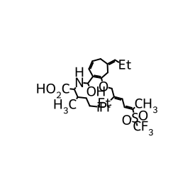 CC/C=C1/CC=CC(C(O)NC(C(=O)O)C(C)CCC(C)C)=C(OC/C(=C/C=C(\C)S(=O)(=O)C(F)(F)F)CC)C1